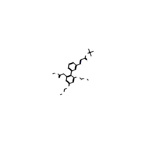 COCOc1cc(CC(=O)OC)c(-c2cccc(/C=C/C(=O)OC(C)(C)C)c2)c(OCOC)c1